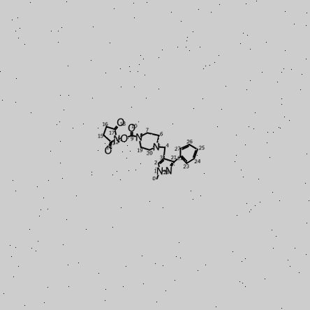 Cn1cc(CN2CCN(C(=O)ON3C(=O)CCC3=O)CC2)c(-c2ccccc2)n1